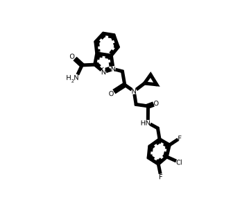 NC(=O)c1nn(CC(=O)N(CC(=O)NCc2ccc(F)c(Cl)c2F)C2CC2)c2ccccc12